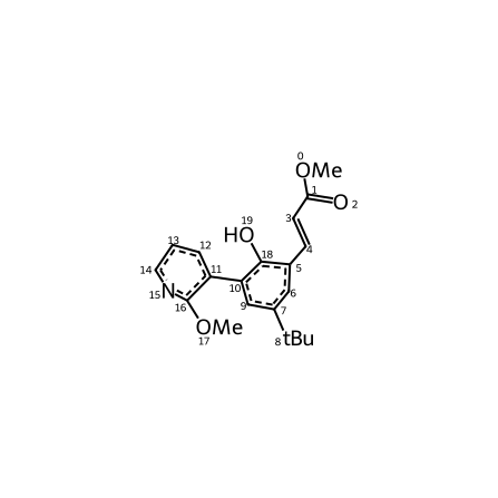 COC(=O)/C=C/c1cc(C(C)(C)C)cc(-c2cccnc2OC)c1O